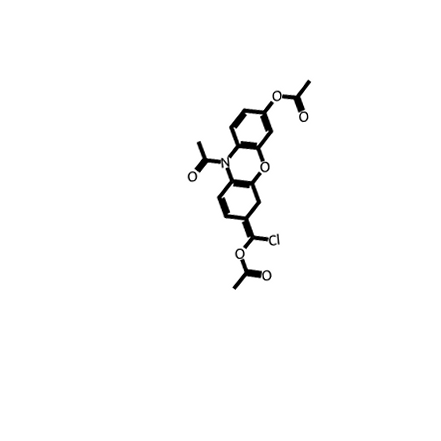 CC(=O)OC(Cl)=C1C=CC2=C(C1)Oc1cc(OC(C)=O)ccc1N2C(C)=O